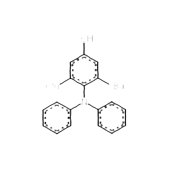 Cc1cc(C(C)(C)C)c(N(c2ccccc2)c2ccccc2)c(C(C)(C)C)c1